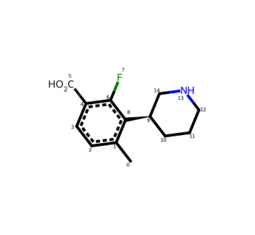 Cc1ccc(C(=O)O)c(F)c1[C@@H]1CCCNC1